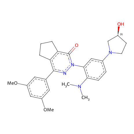 COc1cc(OC)cc(-c2nn(-c3cc(N4CC[C@H](O)C4)ccc3N(C)C)c(=O)c3c2CCC3)c1